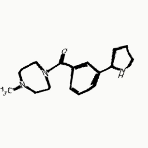 CN1CCN(C(=O)c2cccc(C3CCCN3)c2)CC1